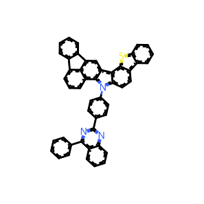 c1ccc(-c2nc(-c3ccc(-n4c5ccc6c7ccccc7sc6c5c5cc6c7c(cccc7c54)-c4ccccc4-6)cc3)nc3ccccc23)cc1